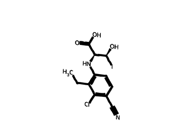 CCc1c(N[C@@H](C(=O)O)[C@@H](O)I)ccc(C#N)c1Cl